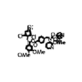 COc1ccc([C@H](Cc2c(Cl)c[n+]([O-])cc2Cl)OC(=O)c2ccc(CN(C(=O)O[C@H]3CN4CCC3CC4)c3cccnc3OC)cc2)cc1OC